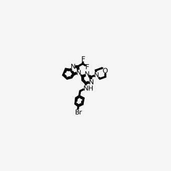 FC(F)c1nc2ccccc2n1-c1cc(NCc2ccc(Br)cc2)nc(N2CCOCC2)n1